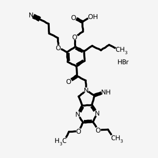 Br.CCCCc1cc(C(=O)CN2Cc3nc(OCC)c(OCC)nc3C2=N)cc(OCCCC#N)c1OCC(=O)O